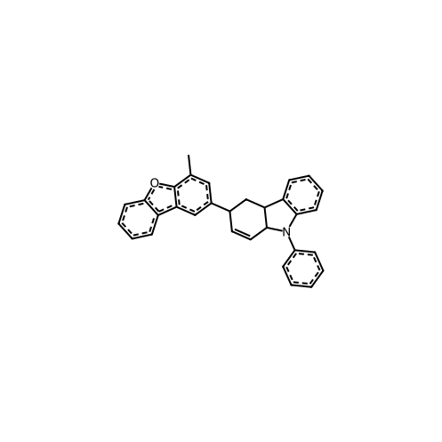 Cc1cc(C2C=CC3C(C2)c2ccccc2N3c2ccccc2)cc2c1oc1ccccc12